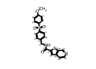 COc1ccc(S(=O)(=O)c2ccc(CNC(=O)c3cc4ccncc4s3)cc2)cc1